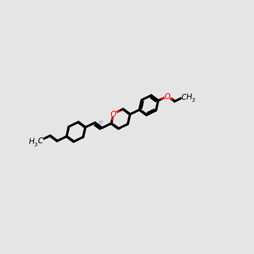 CCCC1CCC(/C=C/C2CCC(c3ccc(OCC)cc3)CO2)CC1